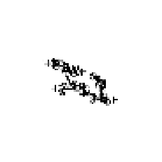 COc1ccc([C@H](C)N2CCN(CCCc3nc4c(cc3CNC(=O)CCCN(C)S(=O)(=O)c3cccc5c6c(ccc35)N(CCCS(=O)(=O)O)/C(=C/C=C/C=C/C3=[N+](CCS(=O)(=O)O)c5ccc7ccc(S(=O)(=O)O)cc7c5C3(C)C)C6(C)C)CCCN4)C2=O)cn1